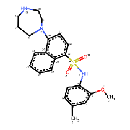 COc1cc(C)ccc1NS(=O)(=O)c1ccc(N2CCCNCC2)c2ccccc12